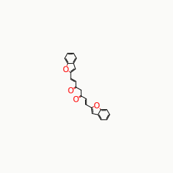 O=C(C=Cc1cc2ccccc2o1)CC(=O)C=Cc1cc2ccccc2o1